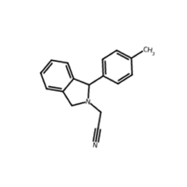 Cc1ccc(C2c3ccccc3CN2CC#N)cc1